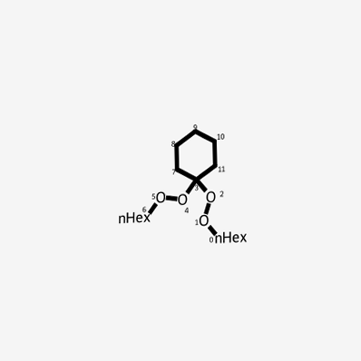 CCCCCCOOC1(OOCCCCCC)CCCCC1